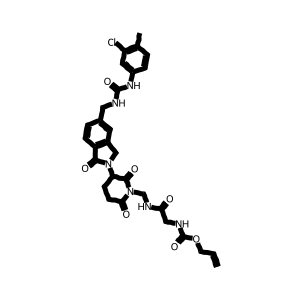 C=CCOC(=O)NCC(=O)NCN1C(=O)CCC(N2Cc3cc(CNC(=O)Nc4ccc(C)c(Cl)c4)ccc3C2=O)C1=O